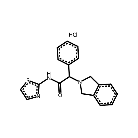 Cl.O=C(Nc1nccs1)C(c1ccccc1)N1Cc2ccccc2C1